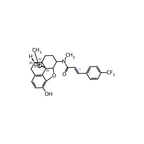 CN(C(=O)/C=C/c1ccc(C(F)(F)F)cc1)C1CC[C@@]2(O)[C@H]3Cc4ccc(O)c5c4[C@@]2(CCN3C)C1O5